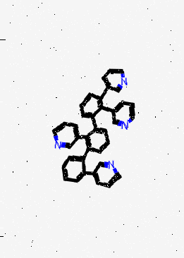 c1cncc(-c2ccccc2-c2cccc(-c3cccc(-c4cccnc4)c3-c3cccnc3)c2-c2cccnc2)c1